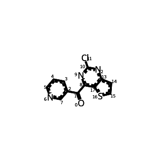 O=C(c1cccnc1)c1nc(Cl)nc2ccsc12